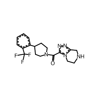 O=C(c1nnc2n1CCNC2)N1CCC(c2ccccc2C(F)(F)F)CC1